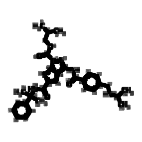 CC(C)COC(=O)n1nc(NC(=O)c2ccc(CNC(C)C)cc2)c2cc(C(=O)NC(C)(C)c3ccccc3)sc21